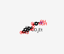 CCOC(=O)C[C@]1(C(=O)COC(=O)c2ccc(CON(O)O)cc2)CC[C@H]2[C@@H]3CCC4=CC(=O)C=C[C@]4(C)[C@H]3[C@@H](O)C[C@@]21C